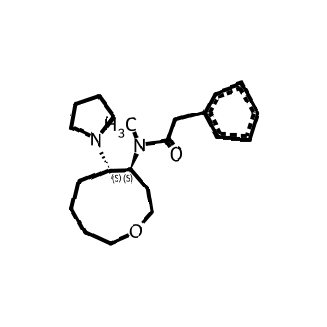 CN(C(=O)Cc1ccccc1)[C@H]1CCOCCCC[C@@H]1N1CCCC1